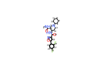 CNC(=O)[C@H]1CN(C2CCCCC2)CC[C@@H]1NC(=O)c1cc(-c2ccc(F)cc2F)on1